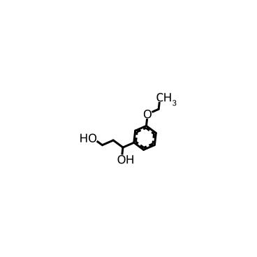 CCOc1cccc(C(O)CCO)c1